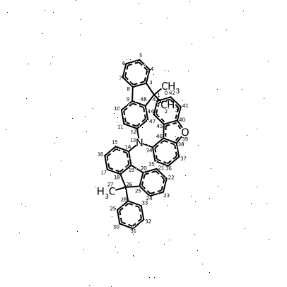 CC1(C)c2ccccc2-c2ccc(N(c3cccc4c3-c3ccccc3C4(C)c3ccccc3)c3cccc4oc5ccccc5c34)cc21